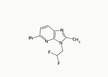 Cc1nc2ccc(C(C)C)nc2n1CC(F)F